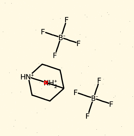 C1C[NH+]2CCC1C[NH2+]2.F[B-](F)(F)F.F[B-](F)(F)F